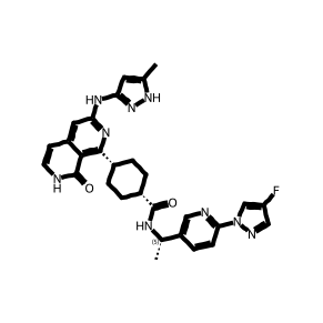 Cc1cc(Nc2cc3cc[nH]c(=O)c3c([C@H]3CC[C@@H](C(=O)N[C@@H](C)c4ccc(-n5cc(F)cn5)nc4)CC3)n2)n[nH]1